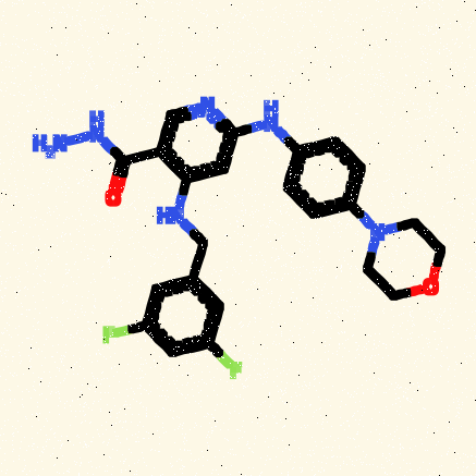 NNC(=O)c1cnc(Nc2ccc(N3CCOCC3)cc2)cc1NCc1cc(F)cc(F)c1